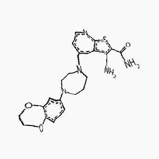 NC(=O)c1sc2nccc(N3CCCN(c4ccc5c(c4)OCCO5)CC3)c2c1N